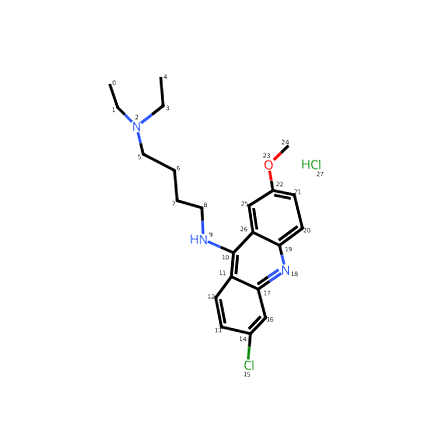 CCN(CC)CCCCNc1c2ccc(Cl)cc2nc2ccc(OC)cc12.Cl